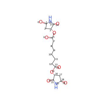 O=C1CC(OC(=O)CCCCCCC(=O)OC2CC(=O)NC2=O)C(=O)N1